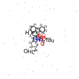 CC(C)(C)OC(=O)N[C@@H]1C[C@@H](CC=O)CC[C@H]1CC(C)(C)[Si](O)(c1ccccc1)c1ccccc1